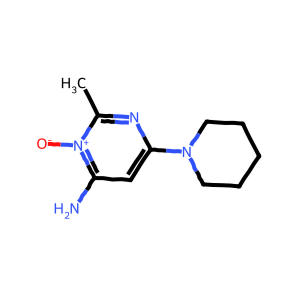 Cc1nc(N2CCCCC2)cc(N)[n+]1[O-]